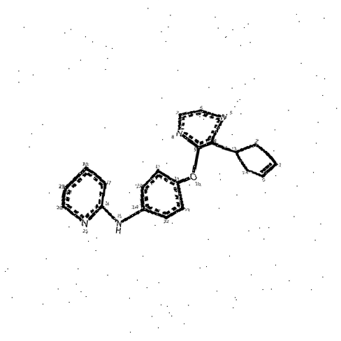 C1=CCC(c2nccnc2Oc2ccc(Nc3ccccn3)cc2)C1